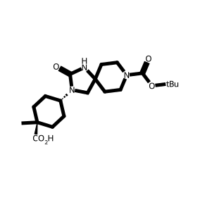 CC(C)(C)OC(=O)N1CCC2(CC1)CN([C@H]1CC[C@](C)(C(=O)O)CC1)C(=O)N2